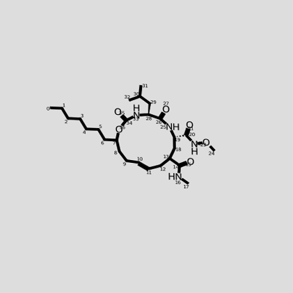 CCCCCCCC1CC/C=C/CC(C(=O)NC)C[C@@H](C(=O)NOC)NC(=O)[C@H](CC(C)C)NC(=O)O1